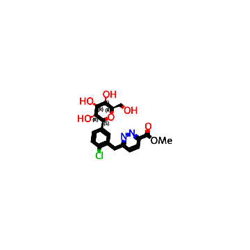 COC(=O)c1ccc(Cc2cc([C@@H]3O[C@H](CO)[C@@H](O)[C@H](O)[C@H]3O)ccc2Cl)nn1